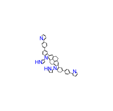 C1=C(c2ccc(-c3ccccn3)cc2)CCc2c1c1cc3c4c(c1n2-c1ccc[nH]1)CCc1c-4c(cc2c4cc(-c5ccc(-c6ccccn6)cc5)ccc4n(-c4cc[nH]c4)c12)CC3